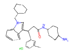 Cc1cccc(C(CC(=O)NC2CCC(N)CC2)c2cn(CC3CCCCC3)c3ccccc23)c1.Cl